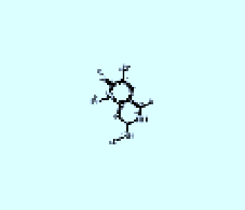 CCNC1N=c2c(cc(Br)c(=O)n2C(C)C)=C(C)N1